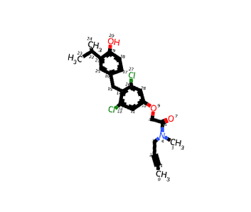 CC#CCN(C)C(=O)COc1cc(Cl)c(Cc2ccc(O)c(C(C)C)c2)c(Cl)c1